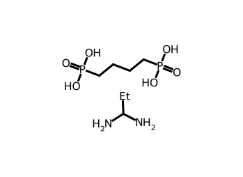 CCC(N)N.O=P(O)(O)CCCCP(=O)(O)O